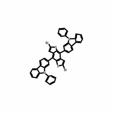 Brc1cc2c(-c3ccc4c5ccccc5n(-c5ccccc5)c4c3)c3sc(Br)cc3c(-c3ccc4c5ccccc5n(-c5ccccc5)c4c3)c2s1